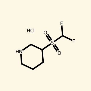 Cl.O=S(=O)(C(F)F)C1CCCNC1